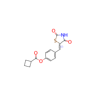 O=C1NC(=O)/C(=C/c2ccc(OC(=O)C3CCC3)cc2)S1